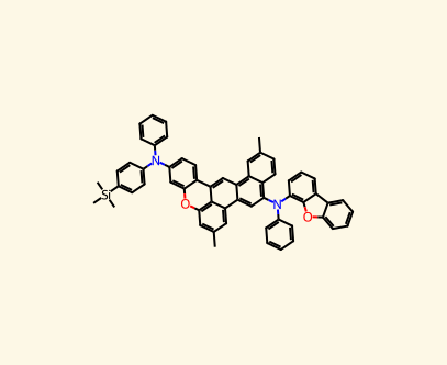 Cc1ccc2c(N(c3ccccc3)c3cccc4c3oc3ccccc34)cc3c4cc(C)cc5c4c(cc3c2c1)-c1ccc(N(c2ccccc2)c2ccc([Si](C)(C)C)cc2)cc1O5